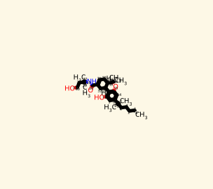 CCCCCC(C)(C)c1cc(O)c2c(c1)OC(C)(C)[C@@H]1CC=C(C(=O)NC(C)(C)CCO)C[C@@H]21